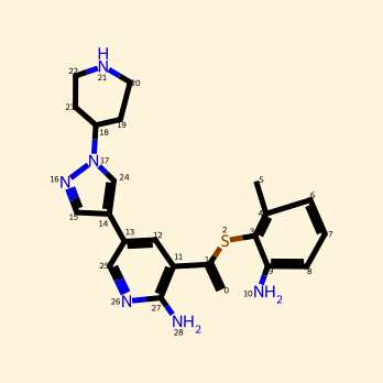 C=C(Sc1c(C)cccc1N)c1cc(-c2cnn(C3CCNCC3)c2)cnc1N